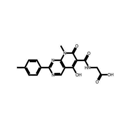 Cc1ccc(-c2ncc3c(O)c(C(=O)NCC(=O)O)c(=O)n(C)c3n2)cc1